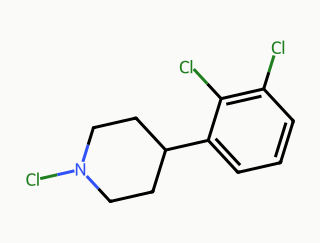 Clc1cccc(C2CCN(Cl)CC2)c1Cl